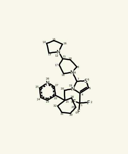 FC(F)(F)C1=CSC(N2CCC(N3CCCC3)CC2)N1CC1(c2cccnc2)CCCCC1